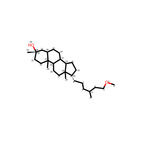 COCCC(C)CCC[C@H]1CCC2C3CCC4C[C@@](C)(O)CCC4(C)C3CCC21C